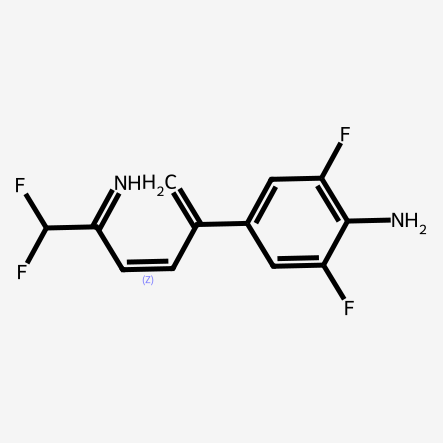 C=C(/C=C\C(=N)C(F)F)c1cc(F)c(N)c(F)c1